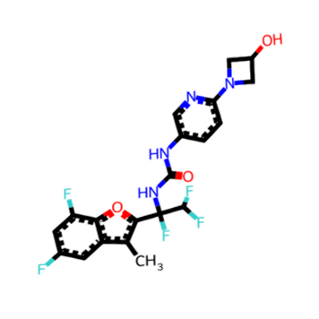 Cc1c(C(F)(NC(=O)Nc2ccc(N3CC(O)C3)nc2)C(F)F)oc2c(F)cc(F)cc12